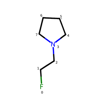 FCCN1C[CH]CC1